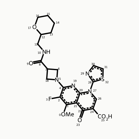 COc1c(F)c(N2CC(C(=O)NCC3CCCCO3)C2)nc2c1c(=O)c(C(=O)O)cn2-c1nccs1